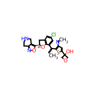 C=Nc1cc(C2(O)COC2)sc1/C(=C\C)c1cc(Cl)cc2c1O[C@@H](c1onc3c1CNCC3)C2